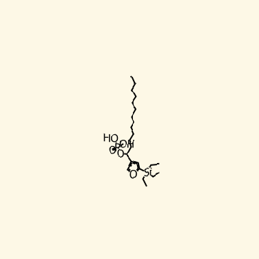 CCCCCCCCCCCCC(OP(=O)(O)O)c1coc([Si](CC)(CC)CC)c1